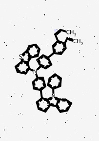 C=Cc1ccc(-c2ccc(N(c3ccc(-c4cccc5c6ccccc6n(-c6ccccc6)c45)cc3)c3cccc4sc5ccccc5c34)cc2)cc1/C=C\C